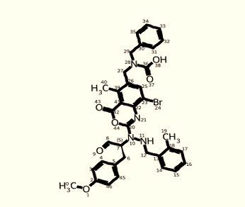 COc1ccc(C[C@@H](C=O)N(NCc2ccccc2C)c2nc3c(Br)cc(CN(Cc4ccccc4)C(=O)O)c(C)c3c(=O)o2)cc1